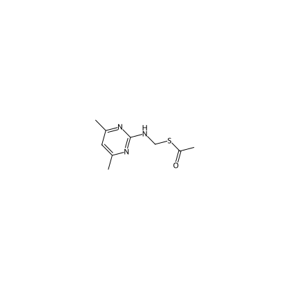 CC(=O)SCNc1nc(C)cc(C)n1